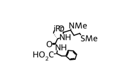 CN[C@@H](CCSC)C(=O)N[C@@H](CC(C)C)C(=O)N[C@@H](Cc1ccccc1)C(=O)O